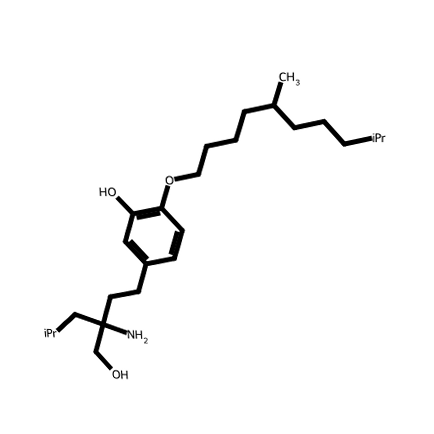 CC(C)CCCC(C)CCCCOc1ccc(CCC(N)(CO)CC(C)C)cc1O